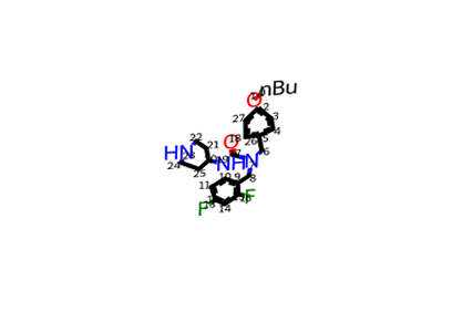 CCCCOc1ccc(CN(Cc2ccc(F)cc2F)C(=O)NC2CCNCC2)cc1